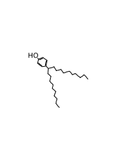 CCCCCCCCCCC(CCCCCCCCCC)c1ccc(O)cc1